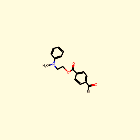 CCC(=O)c1ccc(C(=O)OCCN(C)c2ccccc2)cc1